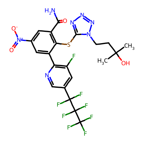 CC(C)(O)CCn1nnnc1Sc1c(C(N)=O)cc([N+](=O)[O-])cc1-c1ncc(C(F)(F)C(F)(F)C(F)(F)F)cc1F